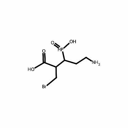 NCCC(C(CBr)C(=O)O)[PH](=O)O